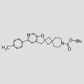 Cc1ccc(-c2cc3c(cn2)OC2(C3)CC3(CCN(C(=O)OC(C)(C)C)CC3)C2)cc1